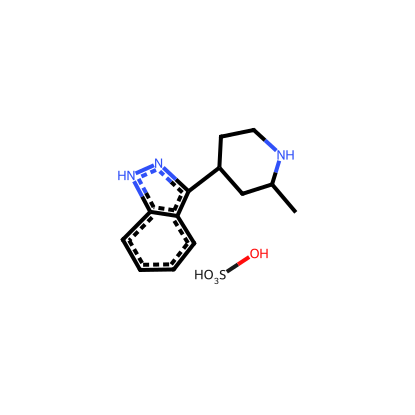 CC1CC(c2n[nH]c3ccccc23)CCN1.O=S(=O)(O)O